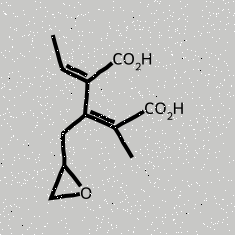 CC=C(C(=O)O)C(CC1CO1)=C(C)C(=O)O